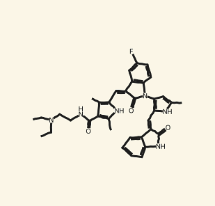 CCN(CC)CCNC(=O)c1c(C)[nH]c(/C=C2\C(=O)N(c3cc(C)[nH]c3/C=C3\C(=O)Nc4ccccc43)c3ccc(F)cc32)c1C